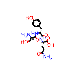 NC(=O)CC[C@H](NC(=O)[C@@H](Cc1ccc(O)cc1)NC(=O)[C@H](N)CO)C(=O)O